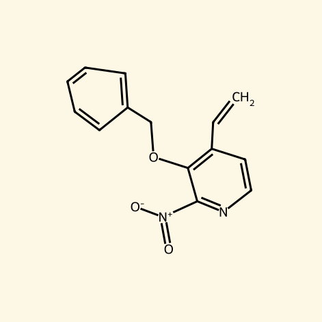 C=Cc1ccnc([N+](=O)[O-])c1OCc1ccccc1